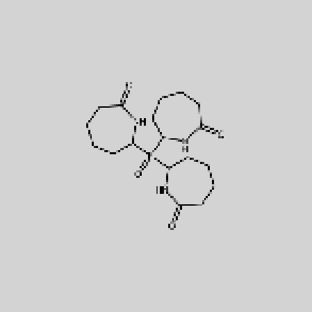 O=C1CCCCC(P(=O)(C2CCCCC(=O)N2)C2CCCCC(=O)N2)N1